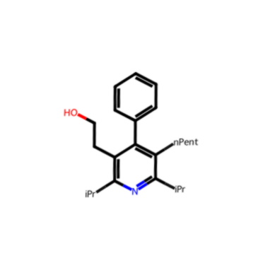 CCCCCc1c(C(C)C)nc(C(C)C)c(CCO)c1-c1ccccc1